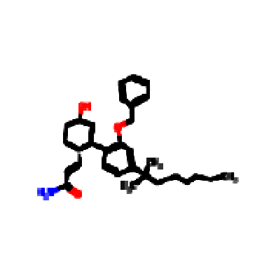 CCCCCCC(C)(C)c1ccc([C@@H]2C[C@H](O)CC[C@H]2C=CC(N)=O)c(OCc2ccccc2)c1